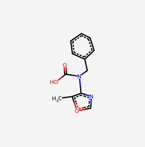 Cc1ocnc1N(Cc1ccccc1)C(=O)O